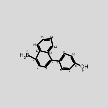 Bc1ccc(-c2ccc(O)cc2)c2ccccc12